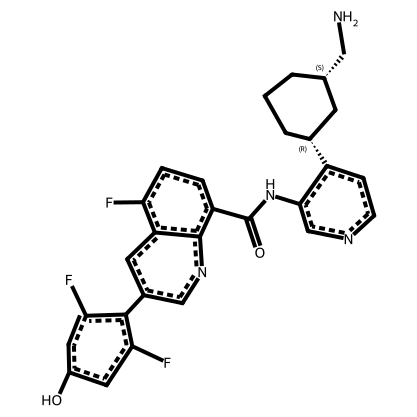 NC[C@H]1CCC[C@@H](c2ccncc2NC(=O)c2ccc(F)c3cc(-c4c(F)cc(O)cc4F)cnc23)C1